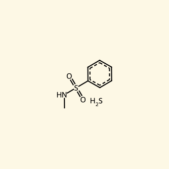 CNS(=O)(=O)c1ccccc1.S